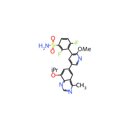 COc1ncc(-c2cc(OC(C)C)c3ncnc(C)c3c2)cc1-c1c(F)ccc(S(N)(=O)=O)c1F